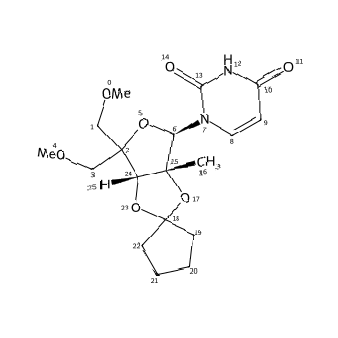 COCC1(COC)O[C@@H](n2ccc(=O)[nH]c2=O)[C@]2(C)OC3(CCCC3)O[C@H]12